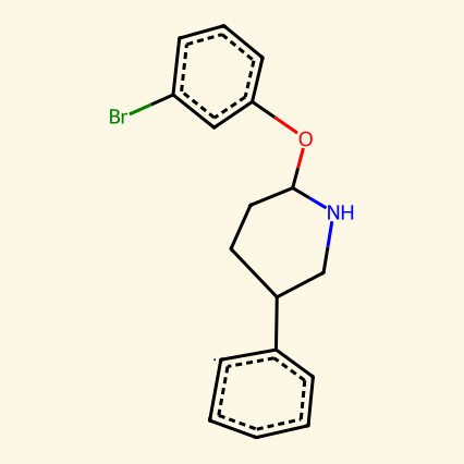 Brc1cccc(OC2CCC(c3[c]cccc3)CN2)c1